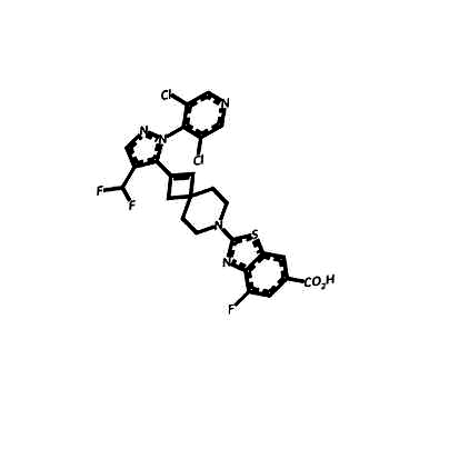 O=C(O)c1cc(F)c2nc(N3CCC4(C=C(c5c(C(F)F)cnn5-c5c(Cl)cncc5Cl)C4)CC3)sc2c1